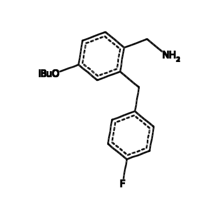 CC(C)COc1ccc(CN)c(Cc2ccc(F)cc2)c1